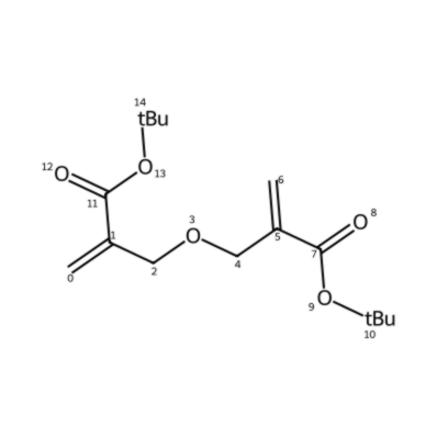 C=C(COCC(=C)C(=O)OC(C)(C)C)C(=O)OC(C)(C)C